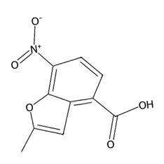 Cc1cc2c(C(=O)O)ccc([N+](=O)[O-])c2o1